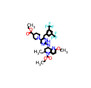 CCOC(=O)C1CCN(c2cnc(N[C@H]3C[C@@H](CC)N(C(=O)OCC)c4ccc(OC)nc43)nc2Cc2cc(C(F)(F)F)cc(C(F)(F)F)c2)CC1